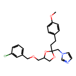 COc1ccc(CCC2(Cn3ccnc3)OCC(COCc3cccc(Cl)c3)O2)cc1